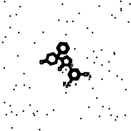 O=C1CCC(c2ccccc2)(N2CC[C@@H](c3cc(C(F)(F)F)cc(C(F)(F)F)c3)C2=O)CC1